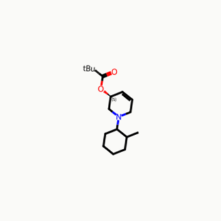 CC1CCCCC1N1CC=C[C@H](OC(=O)C(C)(C)C)C1